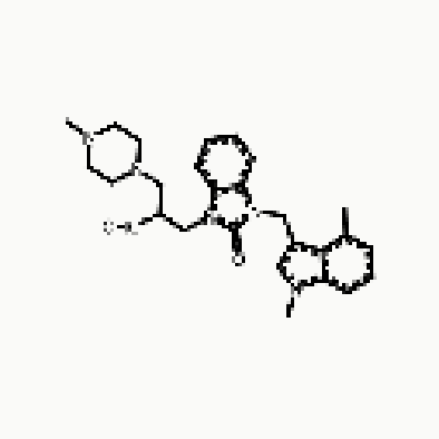 Cc1cccc2c1c(Cn1c(=O)n(CC(C=O)CN3CCN(C)CC3)c3ccccc31)cn2C